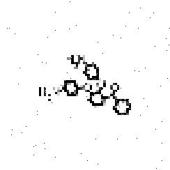 Nc1ccc(Oc2cccc(C(=O)c3ccccc3)c2Oc2ccc(N)cc2)cc1